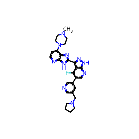 CN1CCN(c2ccnc3[nH]c(-c4n[nH]c5ncc(-c6cncc(CN7CCCC7)c6)c(F)c45)nc23)CC1